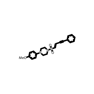 COc1ccc(N2CCN(S(=O)(=O)C=CC#Cc3ccccc3)CC2)cc1